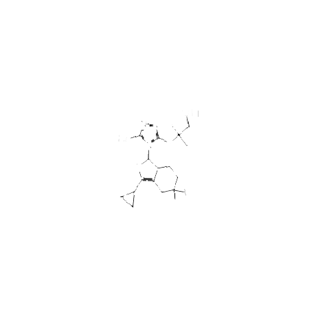 CC(C)(CO)Sc1nnc(Br)n1C1SC(C2CC2)=C2CC(F)(F)CCC21